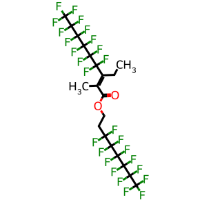 CCC(=C(C)C(=O)OCCC(F)(F)C(F)(F)C(F)(F)C(F)(F)C(F)(F)C(F)(F)F)C(F)(F)C(F)(F)C(F)(F)C(F)(F)C(F)(F)C(F)(F)F